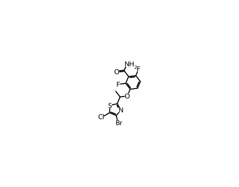 CC(Oc1ccc(F)c(C(N)=O)c1F)c1nc(Br)c(Cl)s1